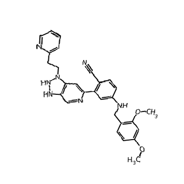 COc1ccc(CNc2ccc(C#N)c(-c3cc4c(cn3)NNN4CCc3ccccn3)c2)c(OC)c1